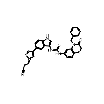 N#CCCn1cc(-c2ccc3[nH]cc(NC(=O)Nc4ccc5c(c4)N(Cc4ccccc4)C(=O)CS5)c3c2)cn1